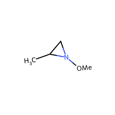 CON1CC1C